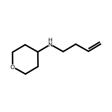 C=CCCNC1CCOCC1